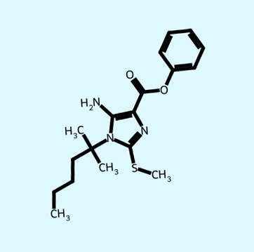 CCCCC(C)(C)n1c(SC)nc(C(=O)Oc2ccccc2)c1N